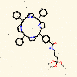 CCO[Si](CCCNC(=O)c1ccc(-c2c3nc(c(-c4ccccc4)c4ccc([nH]4)c(-c4ccccc4)c4nc(c(-c5ccccc5)c5ccc2[nH]5)C=C4)C=C3)cc1)(OCC)OCC